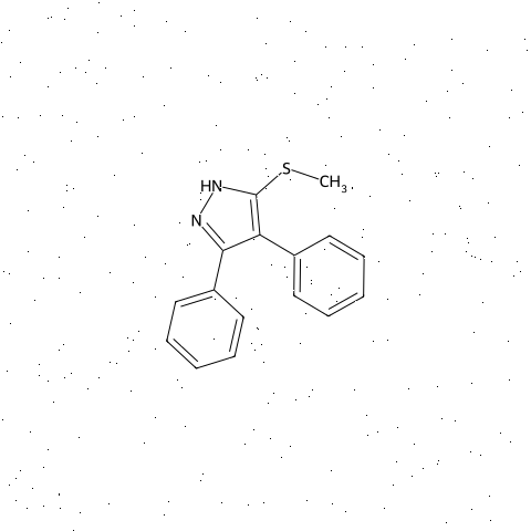 CSc1[nH]nc(-c2ccccc2)c1-c1ccccc1